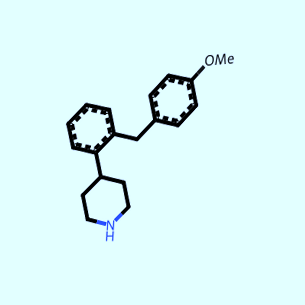 COc1ccc(Cc2ccccc2C2CCNCC2)cc1